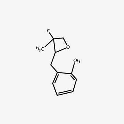 CC1(F)COC1Cc1ccccc1O